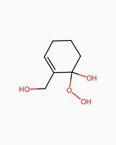 OCC1=CCCCC1(O)OO